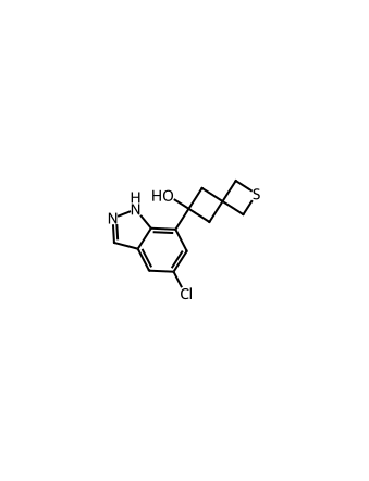 OC1(c2cc(Cl)cc3cn[nH]c23)CC2(CSC2)C1